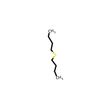 C[CH]CCSCCCC